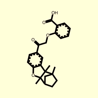 CC12CCC(C1)C1(C)Oc3ccc(C(=O)COc4ccccc4C(=O)O)cc3C21C